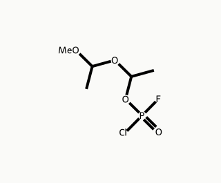 COC(C)OC(C)OP(=O)(F)Cl